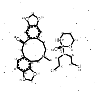 CN1CCc2cc3c(cc2C(=O)Cc2ccc4c(c2C1)OCO4)OCO3.O=P1(N(CCCl)CCCl)NCCCO1